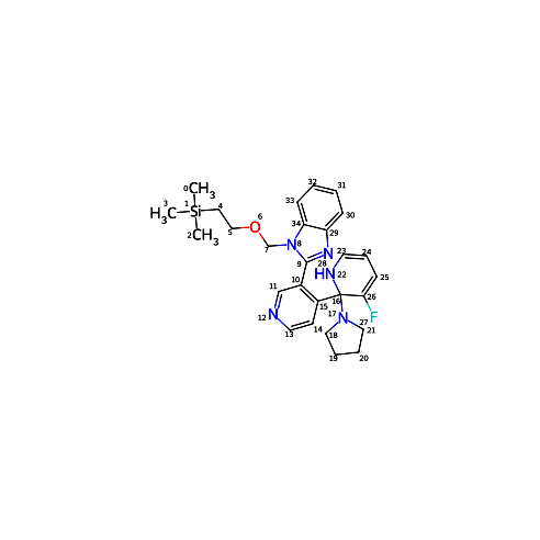 C[Si](C)(C)CCOCn1c(-c2cnccc2C2(N3CCCC3)NC=CC=C2F)nc2ccccc21